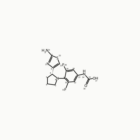 Nc1nc([C@H]2CCCN2c2c(F)cc(NC(=O)O)cc2F)cs1